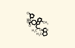 Cc1cccc2c1CC(C[C@@H](C)COc1ccnc3c1[C@H](C)CCC3)C21CCC(Nc2cccc(Cl)c2)(C(=O)O)CC1